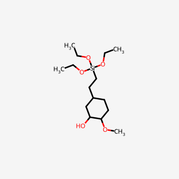 CCO[Si](CCC1CCC(OC)C(O)C1)(OCC)OCC